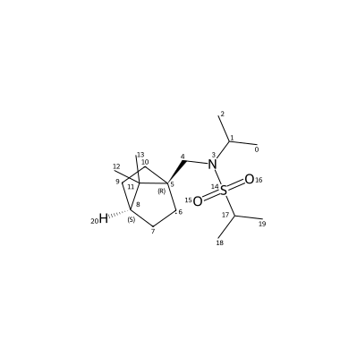 CC(C)N(C[C@]12[CH]C[C@@H](CC1)C2(C)C)S(=O)(=O)C(C)C